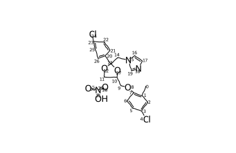 Cc1cc(Cl)ccc1OCC1COC(Cn2ccnc2)(c2ccc(Cl)cc2)O1.O=[N+]([O-])O